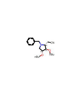 CCCCO[C@@H]1[C@@H](CC#N)N(Cc2ccccc2)C[C@H]1OCCCC